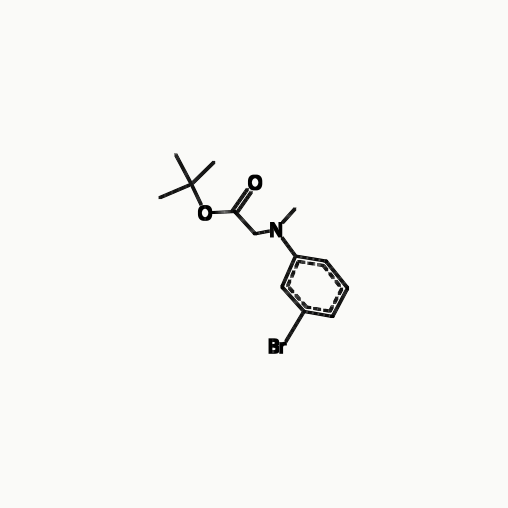 CN(CC(=O)OC(C)(C)C)c1cccc(Br)c1